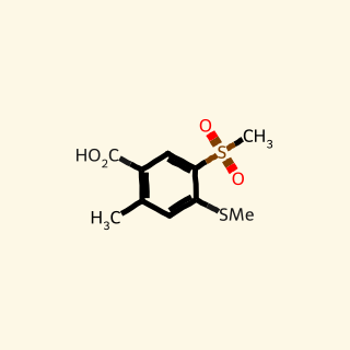 CSc1cc(C)c(C(=O)O)cc1S(C)(=O)=O